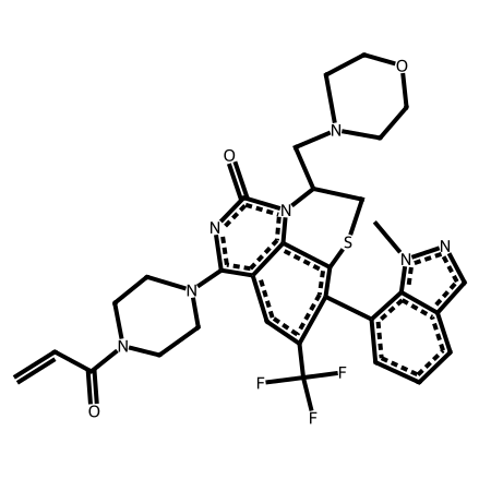 C=CC(=O)N1CCN(c2nc(=O)n3c4c(c(-c5cccc6cnn(C)c56)c(C(F)(F)F)cc24)SCC3CN2CCOCC2)CC1